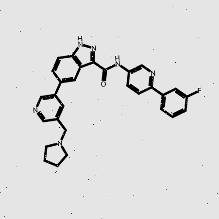 O=C(Nc1ccc(-c2cccc(F)c2)nc1)c1n[nH]c2ccc(-c3cncc(CN4CCCC4)c3)cc12